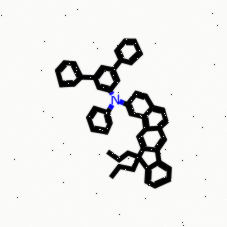 CCCC1(CCC)c2ccccc2-c2cc3ccc4ccc(N(c5ccccc5)c5cc(-c6ccccc6)cc(-c6ccccc6)c5)cc4c3cc21